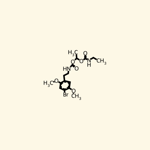 CCNC(=O)OC(C)OC(=O)NCCc1cc(OC)c(Br)cc1OC